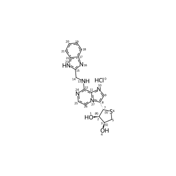 Cl.O[C@@H]1[C@H](O)CS[C@H]1c1cnc2c(NCc3nc4ccccc4[nH]3)nccn12